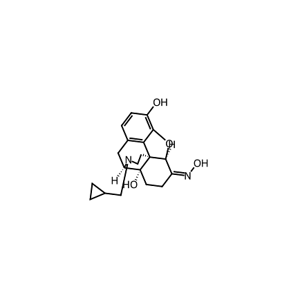 O/N=C1/CC[C@@]2(O)[C@H]3Cc4ccc(O)c5c4[C@@]2(CCN3CC2CC2)[C@H]1O5